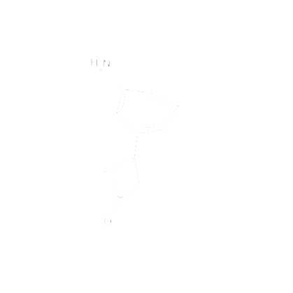 Nc1cccc(C2CC(=O)C2)c1